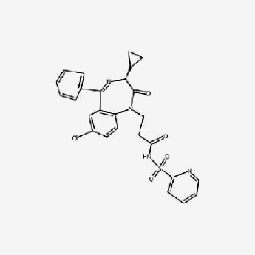 O=C(CCN1C(=O)[C@H](C2CC2)N=C(c2ccccc2)c2cc(Cl)ccc21)NS(=O)(=O)c1ccccn1